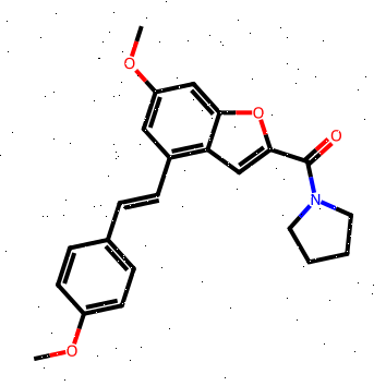 COc1ccc(/C=C/c2cc(OC)cc3oc(C(=O)N4CCCC4)cc23)cc1